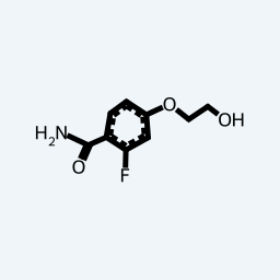 NC(=O)c1ccc(OCCO)cc1F